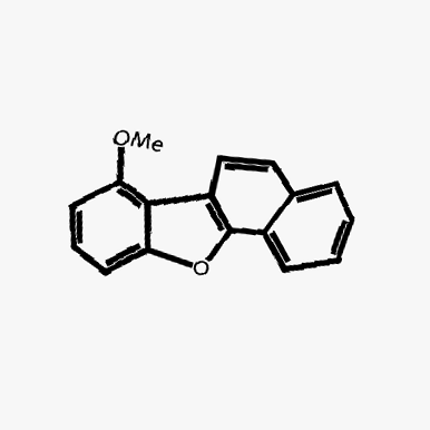 COc1cccc2oc3c4ccccc4ccc3c12